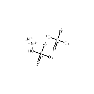 O=P([O-])([O-])O.O=P([O-])([O-])[O-].[Ni+2].[Ni+3]